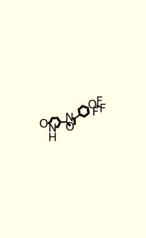 O=c1ccc(-c2nc(-c3ccc(OC(F)(F)F)cc3)co2)c[nH]1